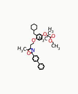 CCOC(=O)C(C)(C)Oc1ccc(OCCc2nc(-c3ccc(-c4ccccc4)cc3)oc2C)c(CC2CCCCC2)c1